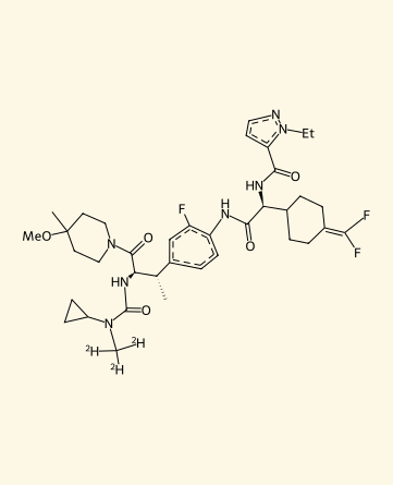 [2H]C([2H])([2H])N(C(=O)N[C@@H](C(=O)N1CCC(C)(OC)CC1)[C@@H](C)c1ccc(NC(=O)[C@@H](NC(=O)c2ccnn2CC)C2CCC(=C(F)F)CC2)c(F)c1)C1CC1